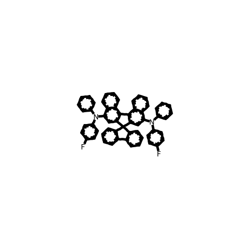 Fc1ccc(N(c2ccccc2)c2cc3c(c4ccccc24)-c2c(cc(N(c4ccccc4)c4ccc(F)cc4)c4ccccc24)C32c3ccccc3-c3ccccc32)cc1